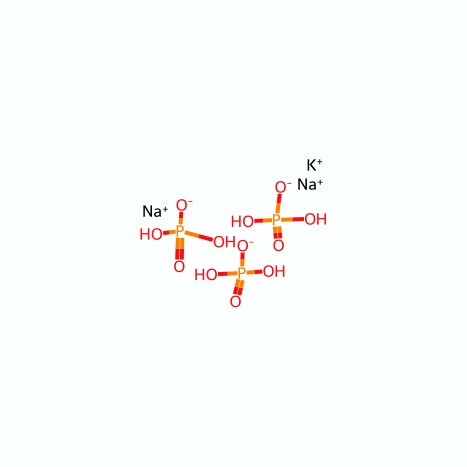 O=P([O-])(O)O.O=P([O-])(O)O.O=P([O-])(O)O.[K+].[Na+].[Na+]